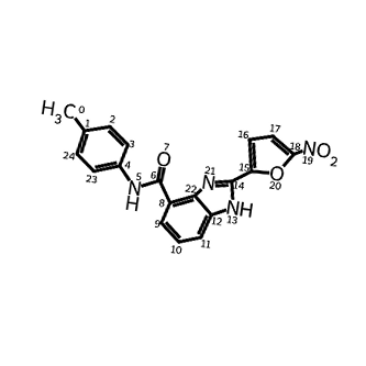 Cc1ccc(NC(=O)c2cccc3[nH]c(-c4ccc([N+](=O)[O-])o4)nc23)cc1